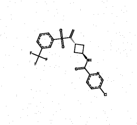 C=C([C@H]1C[C@H](NC(=O)c2ccc(Cl)cn2)C1)S(=O)(=O)c1cccc(C(F)(F)F)c1